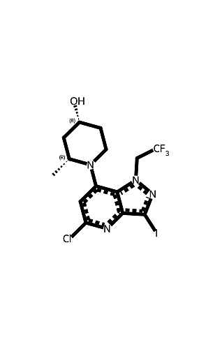 C[C@@H]1C[C@H](O)CCN1c1cc(Cl)nc2c(I)nn(CC(F)(F)F)c12